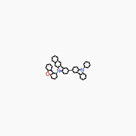 c1ccc(-n2c3ccccc3c3cc(-c4ccc5c(c4)c4cc6ccccc6cc4n5-c4cccc5oc6ccccc6c45)ccc32)cc1